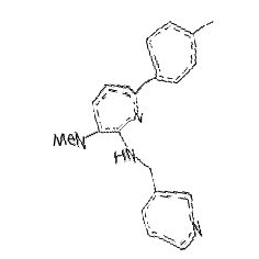 CNc1ccc(-c2ccc(C)cc2)nc1NCc1cccnc1